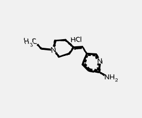 CCN1CCC(=Cc2ccc(N)nc2)CC1.Cl